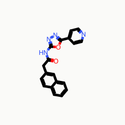 O=C(Cc1ccc2ccccc2c1)Nc1nnc(-c2ccncc2)o1